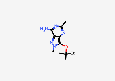 CCC(C)(C)Oc1c2nc(C)nc(N)c2nn1C